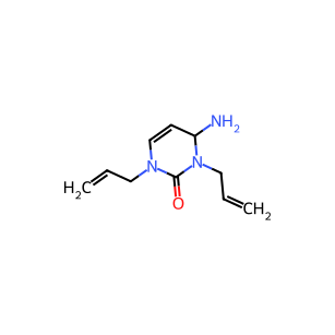 C=CCN1C=CC(N)N(CC=C)C1=O